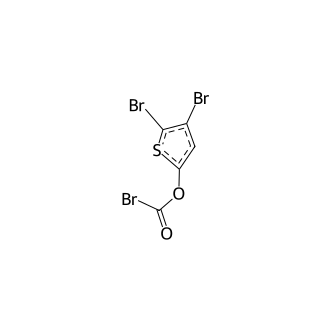 O=C(Br)Oc1cc(Br)c(Br)s1